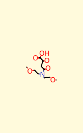 COCCN(CCOC)C(=O)CC(=O)C(=O)O